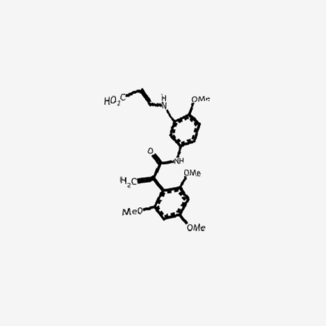 C=C(C(=O)Nc1ccc(OC)c(NC=CC(=O)O)c1)c1c(OC)cc(OC)cc1OC